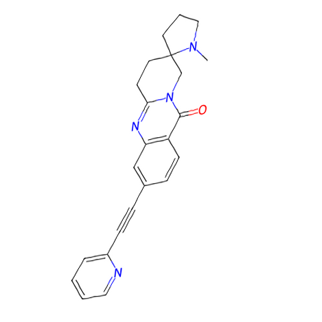 CN1CCCC12CCc1nc3cc(C#Cc4ccccn4)ccc3c(=O)n1C2